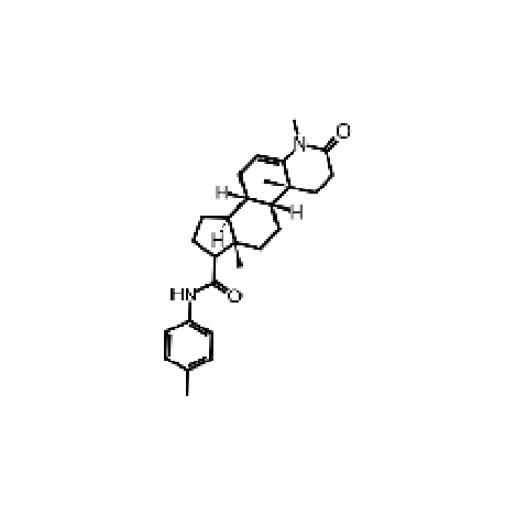 Cc1ccc(NC(=O)C2CC[C@H]3[C@@H]4CC=C5N(C)C(=O)CC[C@]5(C)[C@@H]4CC[C@]23C)cc1